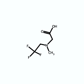 CN(CC(=O)O)CC(F)(F)F